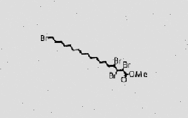 COC(=O)C(Br)C(Br)C(Br)CCCCCCCCCCCCCCBr